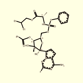 CCC(CC)COC(=O)[C@H](C)NP(=O)(OC[C@H]1O[C@@](C#N)(c2ccc3c(N)nc(F)nn23)[C@](C)(O)[C@@H]1OC(=O)C(C)C)Oc1ccccc1